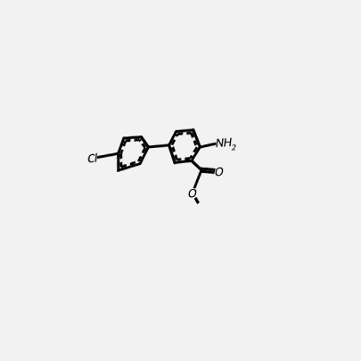 COC(=O)c1cc(-c2ccc(Cl)cc2)ccc1N